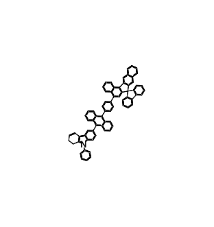 C1=Cc2c(n(-c3ccccc3)c3ccc(-c4c5ccccc5c(-c5ccc(-c6cc7c(c8ccccc68)-c6cc8ccccc8cc6C76c7ccccc7-c7ccccc76)cc5)c5ccccc45)cc23)CC1